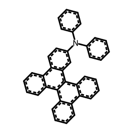 c1ccc(N(c2ccccc2)c2ccc3c4ccccc4c4c5ccccc5c5ccccc5c4c3c2)cc1